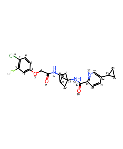 O=C(COc1ccc(Cl)c(F)c1)NC1CC2(NC(=O)c3ccc(C4CC4)cn3)CC1C2